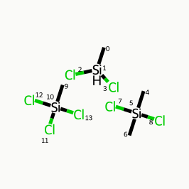 C[SiH](Cl)Cl.C[Si](C)(Cl)Cl.C[Si](Cl)(Cl)Cl